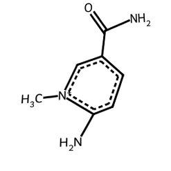 C[n+]1cc(C(N)=O)ccc1N